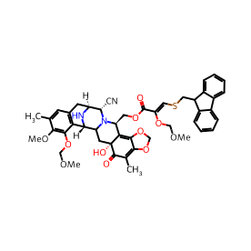 COCO/C(=C\SCC1c2ccccc2-c2ccccc21)C(=O)OC[C@H]1C2=C3OCOC3=C(C)C(=O)[C@@]2(O)CC2[C@H]3N[C@@H](Cc4cc(C)c(OC)c(OCOC)c43)[C@H](C#N)N21